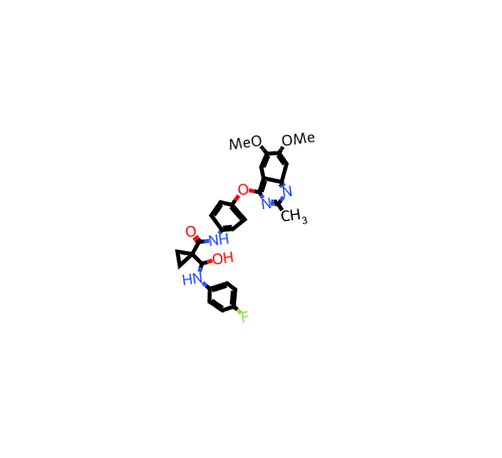 COc1cc2nc(C)nc(Oc3ccc(NC(=O)C4(C(O)Nc5ccc(F)cc5)CC4)cc3)c2cc1OC